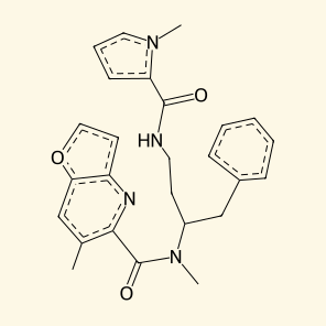 Cc1cc2occc2nc1C(=O)N(C)C(CCNC(=O)c1cccn1C)Cc1ccccc1